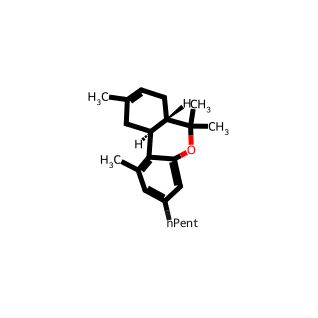 CCCCCc1cc(C)c2c(c1)OC(C)(C)[C@H]1CC=C(C)C[C@H]21